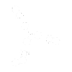 c1ccc2c(c1)ccc1nc(-c3ccc4c(c3)c3cc(-c5nc6ccccc6o5)ccc3n4-c3ccc(-c4nc5ccccc5o4)cc3)oc12